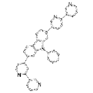 c1ccc(-n2c3cc(-c4ccc(-c5cccnc5)nc4)ccc3c3ccc(-c4ccnc(-c5cccnc5)c4)cc32)cc1